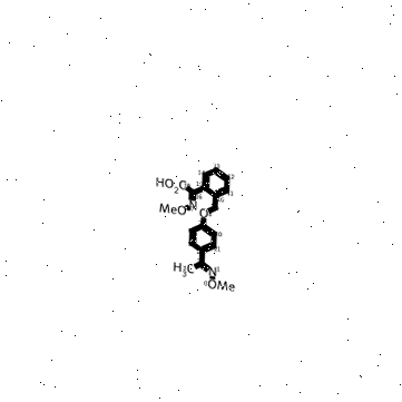 CON=C(C)c1ccc(OCc2ccccc2C(=NOC)C(=O)O)cc1